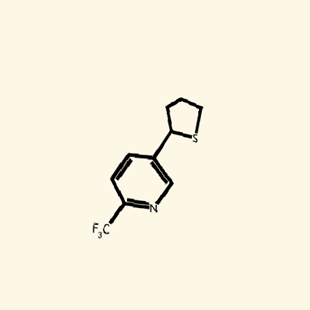 FC(F)(F)c1ccc(C2CCCS2)cn1